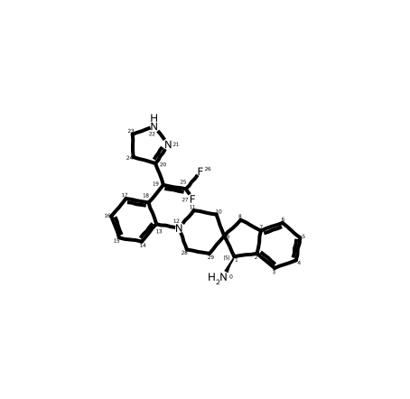 N[C@@H]1c2ccccc2CC12CCN(c1ccccc1C(C1=NNCC1)=C(F)F)CC2